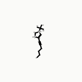 CCCCC#CC1=CN(C(C)(C)C)CS1